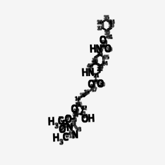 Cc1nccn1P(C)(=O)OC[C@H]1O[C@@H](CC#CCOC(=O)C2Cc3ccc(NC(=O)OCc4ccccc4)cc3CN2)CC1O